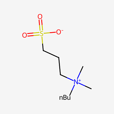 CCCC[N+](C)(C)CCCS(=O)(=O)[O-]